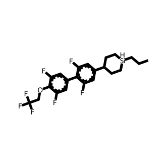 CCC[SiH]1CCC(c2cc(F)c(-c3cc(F)c(OCC(F)(F)F)c(F)c3)c(F)c2)CC1